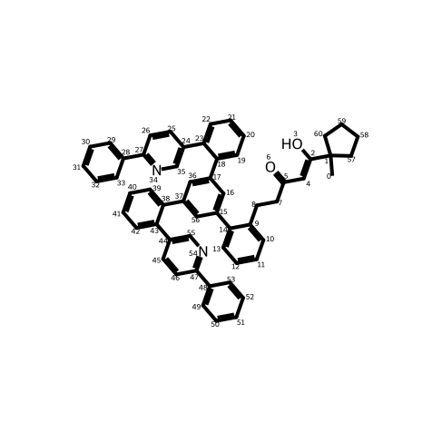 CC1(/C(O)=C/C(=O)CCc2ccccc2-c2cc(-c3ccccc3-c3ccc(-c4ccccc4)nc3)cc(-c3ccccc3-c3ccc(-c4ccccc4)nc3)c2)CCCC1